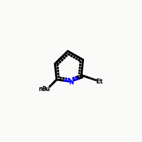 CCCCc1cccc(CC)n1